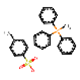 C[P+](c1ccccc1)(c1ccccc1)c1ccccc1.Cc1ccc(S(=O)(=O)[O-])cc1